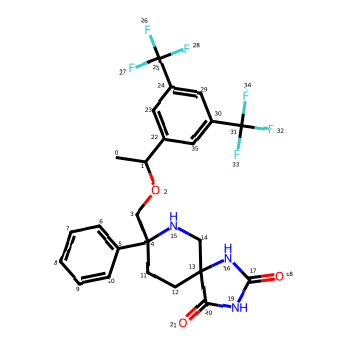 CC(OCC1(c2ccccc2)CCC2(CN1)NC(=O)NC2=O)c1cc(C(F)(F)F)cc(C(F)(F)F)c1